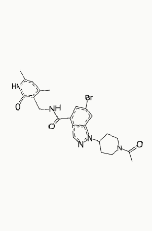 CC(=O)N1CCC(n2ncc3c(C(=O)NCc4c(C)cc(C)[nH]c4=O)cc(Br)cc32)CC1